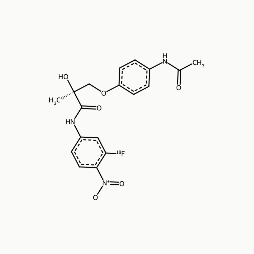 CC(=O)Nc1ccc(OC[C@](C)(O)C(=O)Nc2ccc([N+](=O)[O-])c([18F])c2)cc1